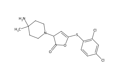 CC1(N)CCN(C2C=C(Sc3ccc(Cl)cc3Cl)OC2=O)CC1